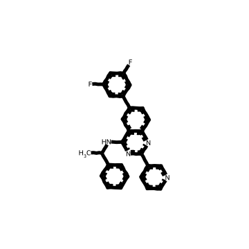 CC(Nc1nc(-c2cccnc2)nc2ccc(-c3cc(F)cc(F)c3)cc12)c1ccccc1